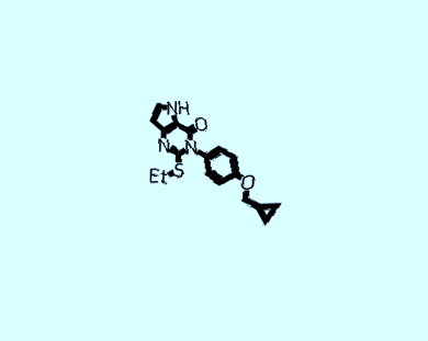 CCSc1nc2cc[nH]c2c(=O)n1-c1ccc(OCC2CC2)cc1